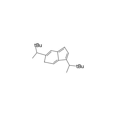 CC(C1=CC2=CC=C(C(C)C(C)(C)C)C2=CC1)C(C)(C)C